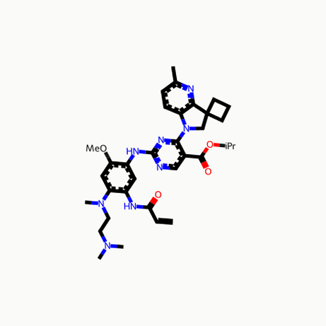 C=CC(=O)Nc1cc(Nc2ncc(C(=O)OC(C)C)c(N3CC4(CCC4)c4nc(C)ccc43)n2)c(OC)cc1N(C)CCN(C)C